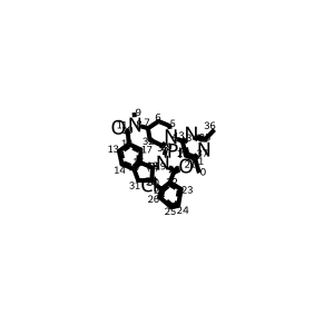 Cc1cc(N2CCC(N(C)C(=O)c3ccc4c(c3)[C@H](N(C(=O)c3ccccc3Cl)C(C)C)CC4)CC2)nc(C)n1